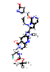 Cn1c(-c2cc3ccnc(OC[C@@H]4CNC(=O)C4)c3n2CC2CC2)nc2cc3c(nc21)CCN(C[C@@H](CF)NC(=O)OC(C)(C)C)C3=O